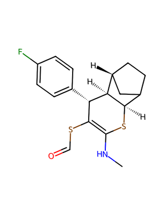 CNC1=C(SC=O)[C@H](c2ccc(F)cc2)[C@H]2[C@@H]3CCC(C3)[C@H]2S1